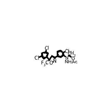 CC(=O)NN(C(=O)P)c1cc(C2=NOC(c3cc(Cl)cc(Cl)c3)(C(F)(F)F)C2)ccc1Cl